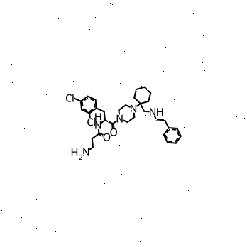 NCCC(=O)NC(Cc1ccc(Cl)cc1Cl)C(=O)N1CCN(C2(CNCCc3ccccc3)CCCCC2)CC1